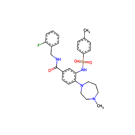 Cc1ccc(S(=O)(=O)Nc2cc(C(=O)NCc3ccccc3F)ccc2N2CCCN(C)CC2)cc1